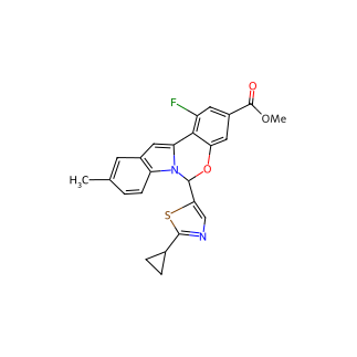 COC(=O)c1cc(F)c2c(c1)OC(c1cnc(C3CC3)s1)n1c-2cc2cc(C)ccc21